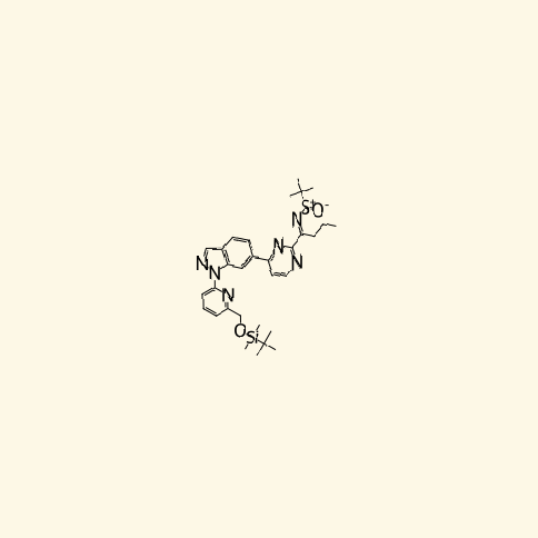 CCCC(=N[S+]([O-])C(C)(C)C)c1nccc(-c2ccc3cnn(-c4cccc(CO[Si](C)(C)C(C)(C)C)n4)c3c2)n1